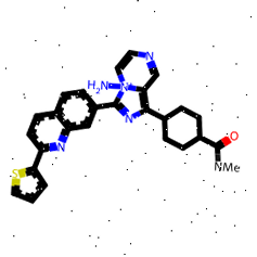 CNC(=O)C1CCC(C2=C3C=NC=C[N+]3(N)C(c3ccc4ccc(-c5cccs5)nc4c3)=N2)CC1